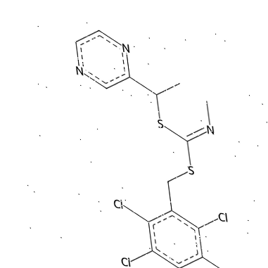 C/N=C(/SCc1c(Cl)c(Cl)cc(Cl)c1Cl)SC(C)c1cnccn1